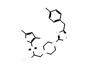 Cc1ccc(Cc2nsc(N3CCN(CC(N)S(=O)(=O)c4sc(Cl)cc4Br)CC3)n2)cc1